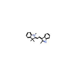 CC1=Nc2ccccc2C1=CC=C1N(C)c2ccccc2C1(C)C